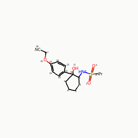 CC(C)S(=O)(=O)NC1CCCCC1(O)c1ccc(OCC#N)cc1